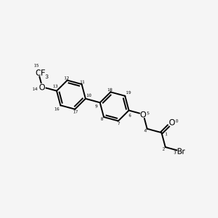 O=C(CBr)COc1ccc(-c2ccc(OC(F)(F)F)cc2)cc1